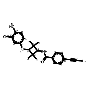 CC1(C)C(NC(=O)c2ccc(C#CI)cc2)C(C)(C)C1Oc1ccc(C#N)c(Cl)c1